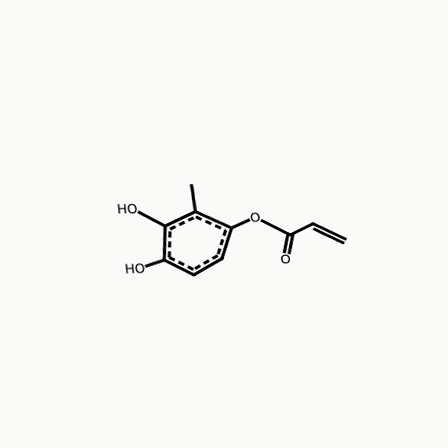 C=CC(=O)Oc1ccc(O)c(O)c1C